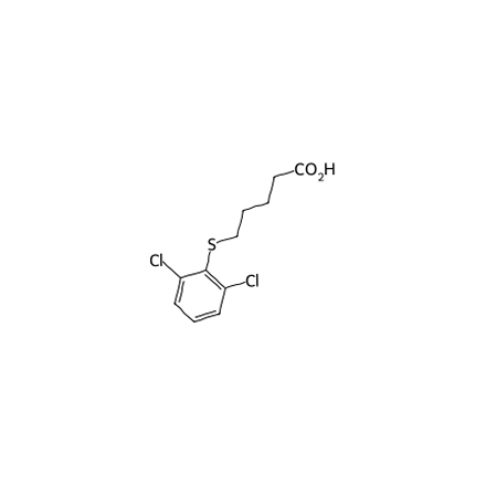 O=C(O)CCCCSc1c(Cl)cccc1Cl